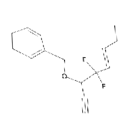 C#CC(OCc1ccccc1)C(F)(F)C=CCC